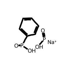 O=PO.[Na+].[O-]P(O)c1ccccc1